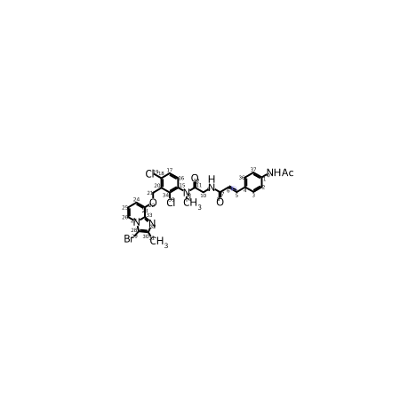 CC(=O)Nc1ccc(/C=C/C(=O)NCC(=O)N(C)c2ccc(Cl)c(COc3cccn4c(Br)c(C)nc34)c2Cl)cc1